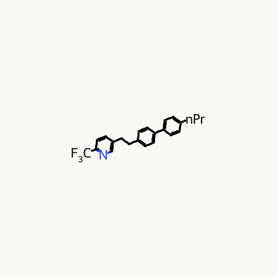 CCCc1ccc(-c2ccc(CCc3ccc(C(F)(F)F)nc3)cc2)cc1